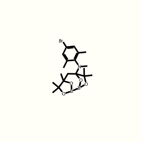 Cc1cc(Br)cc(C)c1N(C)C12CC3(C)OB(OC3(C)C)B(OC1(C)C)O2